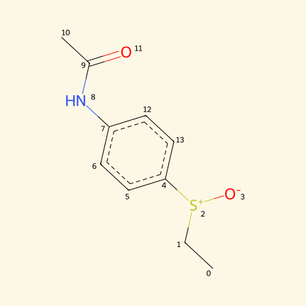 CC[S+]([O-])c1ccc(NC(C)=O)cc1